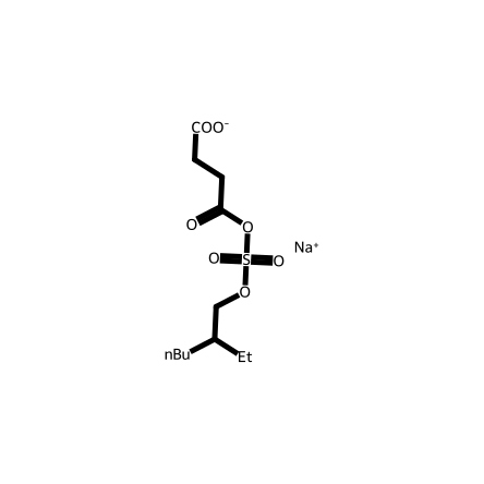 CCCCC(CC)COS(=O)(=O)OC(=O)CCC(=O)[O-].[Na+]